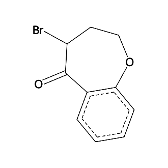 O=C1c2ccccc2OCCC1Br